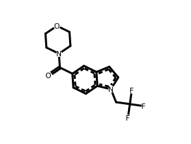 O=C(c1ccc2c(ccn2CC(F)(F)F)c1)N1CCOCC1